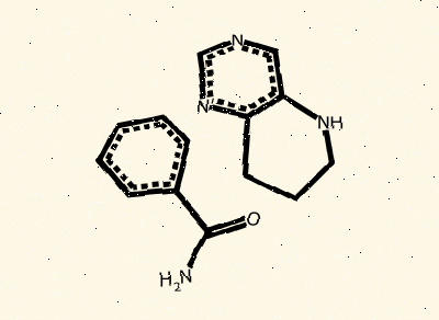 NC(=O)c1ccccc1.c1ncc2c(n1)CCCN2